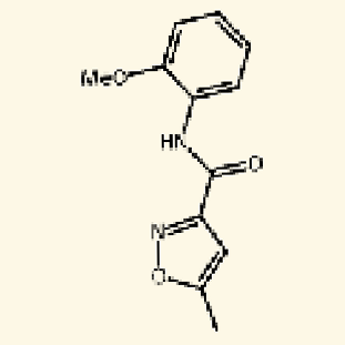 COc1ccccc1NC(=O)c1cc(C)on1